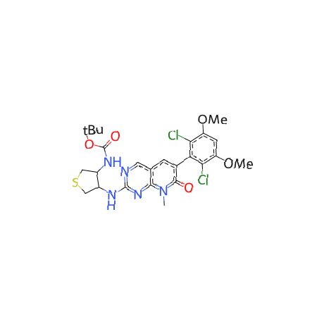 COc1cc(OC)c(Cl)c(-c2cc3cnc(NC4CSCC4NC(=O)OC(C)(C)C)nc3n(C)c2=O)c1Cl